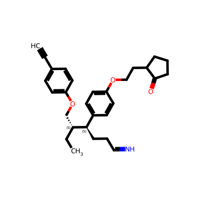 C#Cc1ccc(OC[C@@H](CC)[C@H](CCC=N)c2ccc(OCCC3CCCC3=O)cc2)cc1